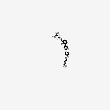 N=C(N)NC(=O)OCc1cccc(-c2cnc(N3CCC(=NOCCCCO)CC3)nc2)c1F